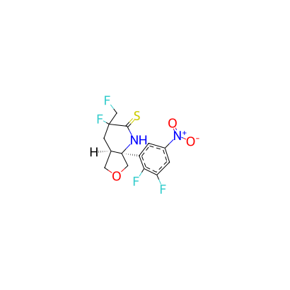 O=[N+]([O-])c1cc(F)c(F)c([C@]23COC[C@H]2CC(F)(CF)C(=S)N3)c1